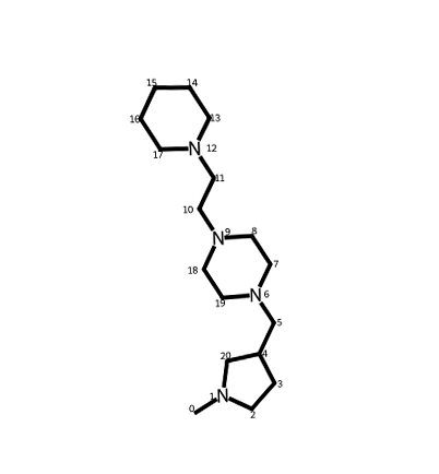 CN1CCC(CN2CCN(CCN3CCCCC3)CC2)C1